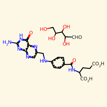 Nc1nc2ncc(CNc3ccc(C(=O)NC(CCC(=O)O)C(=O)O)cc3)nc2c(=O)[nH]1.O=CC(O)C(O)C(O)CO